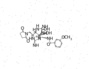 COc1cccc(C(=O)N[C@H]2CN3C(=N)N[C@@H](CN4C(=O)CCC4=O)[C@@H]4NC(=N)N[C@@]43[C@@]2(O)CO)c1